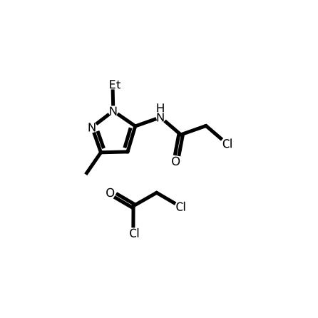 CCn1nc(C)cc1NC(=O)CCl.O=C(Cl)CCl